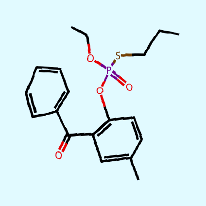 CCCSP(=O)(OCC)Oc1ccc(C)cc1C(=O)c1ccccc1